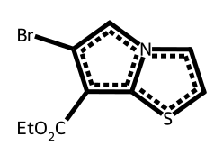 CCOC(=O)c1c(Br)cn2ccsc12